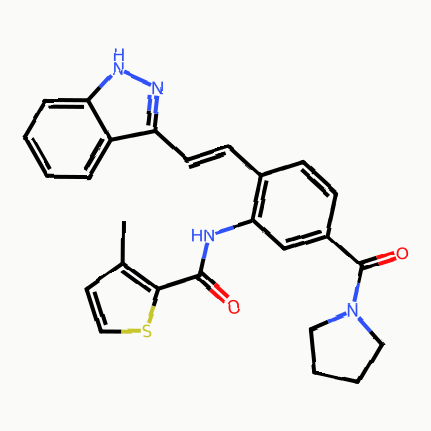 Cc1ccsc1C(=O)Nc1cc(C(=O)N2CCCC2)ccc1C=Cc1n[nH]c2ccccc12